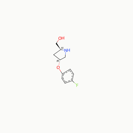 OC[C@@H]1C[C@@H](Oc2ccc(F)cc2)CN1